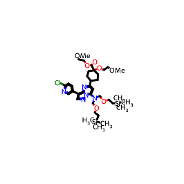 COCCOC(=O)C1(OCCOC)CCC(c2cc(N(COCC[Si](C)(C)C)COCC[Si](C)(C)C)n3ncc(-c4ccc(Cl)nc4)c3n2)CC1